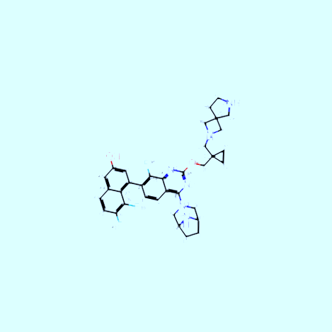 Oc1cc(-c2ccc3c(N4CC5CCC(C4)N5)nc(OCC4(CN5CC6(CCNC6)C5)CC4)nc3c2F)c2c(F)c(F)ccc2c1